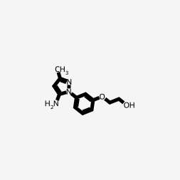 Cc1cc(N)n(-c2cccc(OCCO)c2)n1